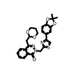 CC1(C)Oc2ccc(-c3csc(Cn4nc(CC5OCCCO5)c5ccccc5c4=O)n3)cc2O1